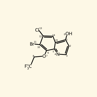 Oc1ccnc2c(OCC(F)(F)F)c(Br)c(Cl)cc12